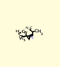 C=NC1(CC)C/C1=C/C(C)CC